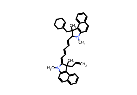 C=CCC1(C)\C(=C/C=C/C=C/C2N(C)c3ccc4ccccc4c3C2(C)CC2=CCCCC2)N(C)c2ccc3ccccc3c21